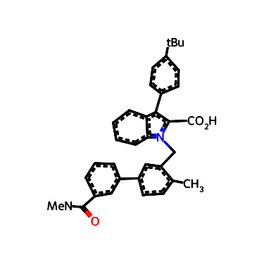 CNC(=O)c1cccc(-c2ccc(C)c(Cn3c(C(=O)O)c(-c4ccc(C(C)(C)C)cc4)c4ccccc43)c2)c1